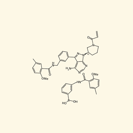 C=CC(=O)N1CCC[C@@H](n2nc(-c3cccc(CNC(=O)c4cc(C)ccc4OC)c3)c3c(N)ncnc32)C1.COc1ccc(C)cc1C(=O)NCc1cccc(B(O)O)c1